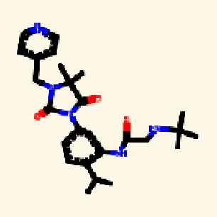 CC(C)c1ccc(N2C(=O)N(Cc3ccncc3)C(C)(C)C2=O)cc1NC(=O)CNC(C)(C)C